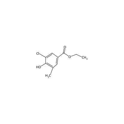 CCOC(=O)c1cc(C)c(O)c(Cl)c1